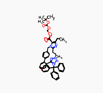 CCCc1nc(CC)c(C(=O)OCOC(=O)OC(C)(C)C)n1Cc1ccc(-c2ccccc2-c2nnnn2C(c2ccccc2)(c2ccccc2)c2ccccc2)cc1